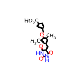 Cc1cc(C=C2C(=O)NC(=O)NC2=O)cc(C)c1OCc1ccc(C(=O)O)cc1